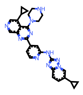 c1cc(-c2nc(N3CCNCC3)c3c(C4CC4)cncc3n2)cc(Nc2nc3ccc(C4CC4)cn3n2)n1